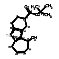 CC(C)(C)OC(=O)N1CCc2nn3c(c2C1)C(O)CC=CC3